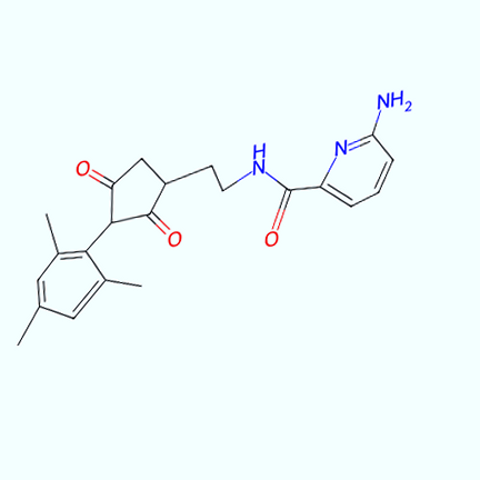 Cc1cc(C)c(C2C(=O)CC(CCNC(=O)c3cccc(N)n3)C2=O)c(C)c1